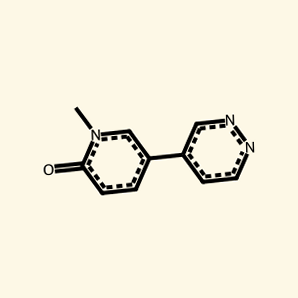 Cn1cc(-c2ccnnc2)ccc1=O